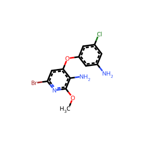 COc1nc(Br)cc(Oc2cc(N)cc(Cl)c2)c1N